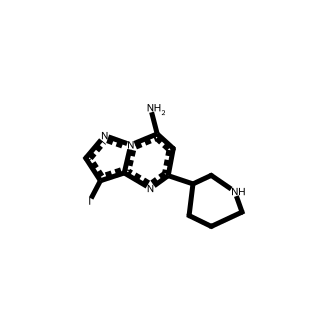 Nc1cc(C2CCCNC2)nc2c(I)cnn12